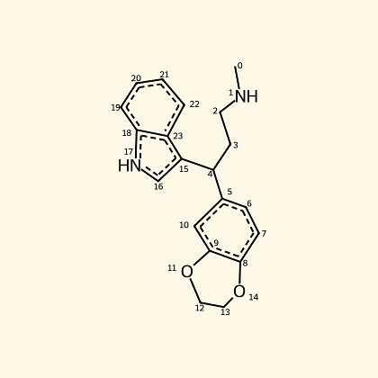 CNCCC(c1ccc2c(c1)OCCO2)c1c[nH]c2ccccc12